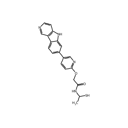 CC(S)NC(=O)COc1ccc(-c2ccc3c(c2)[nH]c2ccncc23)cn1